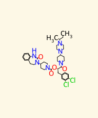 CCC(C)N1CCN(C2CCN(C(=O)[C@@H](Cc3ccc(Cl)c(Cl)c3)OC(=O)N3CCC(N4CCc5ccccc5NC4=O)CC3)CC2)CC1